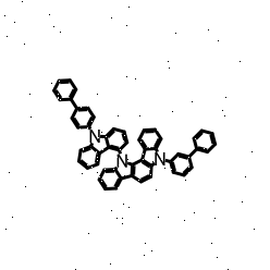 c1ccc(-c2ccc(-n3c4ccccc4c4c(-n5c6ccccc6c6ccc7c(c8ccccc8n7-c7cccc(-c8ccccc8)c7)c65)cccc43)cc2)cc1